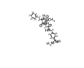 CS(=O)(=O)N[C@H](CCc1ccccc1)C(=O)NCC(=O)NCc1ccc(C(=N)N)cc1